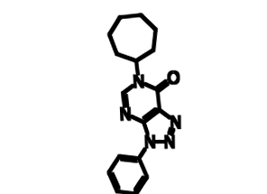 O=c1c2nnn(-c3ccccc3)c2ncn1C1CCCCCC1